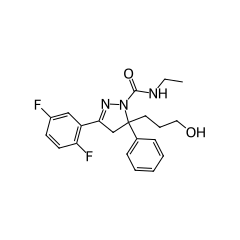 CCNC(=O)N1N=C(c2cc(F)ccc2F)CC1(CCCO)c1ccccc1